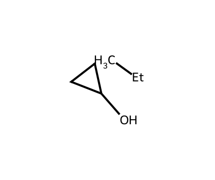 CCC.OC1CC1